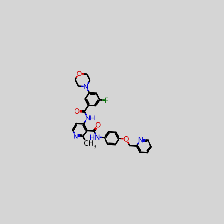 Cc1nccc(NC(=O)c2cc(F)cc(N3CCOCC3)c2)c1C(=O)Nc1ccc(OCc2ccccn2)cc1